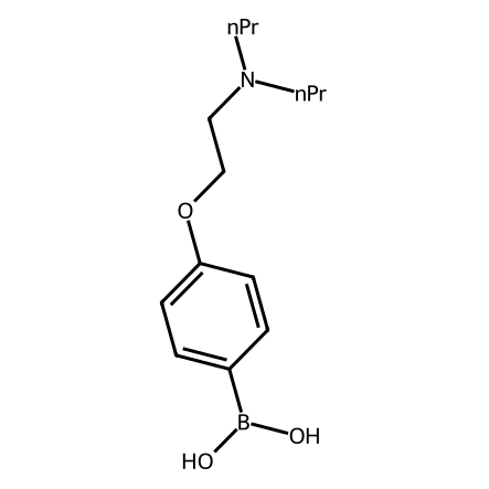 CCCN(CCC)CCOc1ccc(B(O)O)cc1